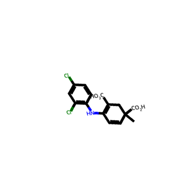 CC1(C(=O)O)C=CC(Nc2ccc(Cl)cc2Cl)=C(C(=O)O)C1